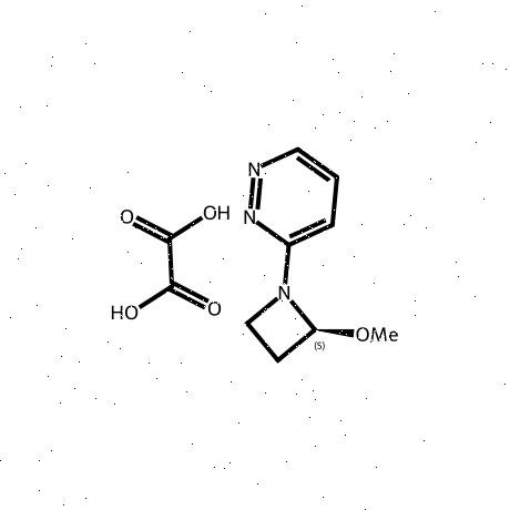 CO[C@H]1CCN1c1cccnn1.O=C(O)C(=O)O